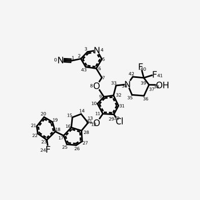 N#Cc1cncc(COc2cc(O[C@H]3CCc4c(-c5ccccc5F)cccc43)c(Cl)cc2CN2CCC(O)C(F)(F)C2)c1